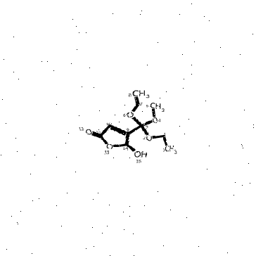 CCOC(OC)(OCC)C1=CC(=O)OC1O